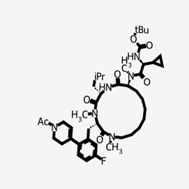 CC(=O)N1CC=C(c2ccc(F)cc2C[C@H]2C(=O)N(C)CCCCCCC[C@H](N(C)C(=O)[C@@H](NC(=O)OC(C)(C)C)C3CC3)C(=O)N[C@@H](CC(C)C)C(=O)N2C)CC1